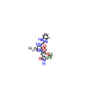 CC(C)CC(NC(=O)c1nc2ccccc2[nH]1)C(=O)NC(CC1CCNC1=O)C(=O)COC(F)(F)F